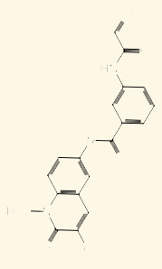 C=CC(=O)Nc1cccc(C(=O)Nc2ccc3c(c2)cc(C)c(=O)n3C)c1